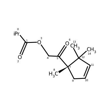 CC(C)C(=O)OCC(=O)[C@@]1(C)CC=CC1(C)C